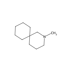 CN1CCCC2(CCCCC2)C1